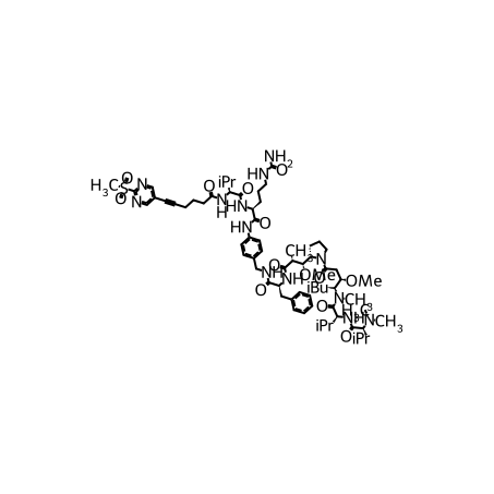 CC[C@H](C)[C@@H]([C@@H](CC(=O)N1CCC[C@H]1[C@H](OC)[C@@H](C)C(=O)N[C@@H](Cc1ccccc1)C(=O)NCc1ccc(NC(=O)[C@H](CCCNC(N)=O)NC(=O)[C@@H](NC(=O)CCCC#Cc2cnc(S(C)(=O)=O)nc2)C(C)C)cc1)OC)N(C)C(=O)[C@@H](NC(=O)[C@H](C(C)C)N(C)C)C(C)C